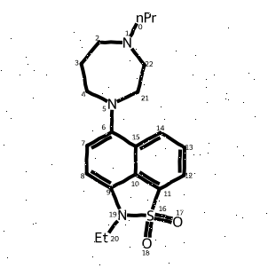 CCCN1CCCN(c2ccc3c4c(cccc24)S(=O)(=O)N3CC)CC1